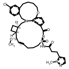 CO[C@H]1/C=C/CCCS(=O)(NC(=O)CCc2ccnn2C)=NC(=O)c2ccc3c(c2)N(Cc2ccc(Cl)cc2CCCCO3)C[C@@H]2CC[C@H]21